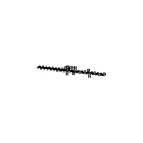 CCCCCCCCCCCCCCCCCC(=O)N[C@@H](CCC(=O)NCCOCCOCC(=O)NCCOCCOCC=O)C(=O)O